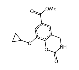 COC(=O)c1cc2c(c(OC3CC3)c1)OC(=O)NC2